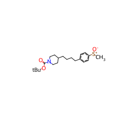 C[S+]([O-])c1ccc(CCCCC2CCN(C(=O)OC(C)(C)C)CC2)cc1